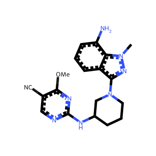 COc1nc(NC2CCCN(c3nn(C)c4c(N)cccc34)C2)ncc1C#N